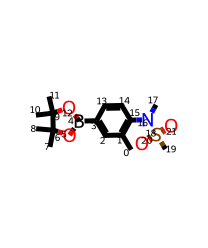 Cc1cc(B2OC(C)(C)C(C)(C)O2)ccc1N(C)S(C)(=O)=O